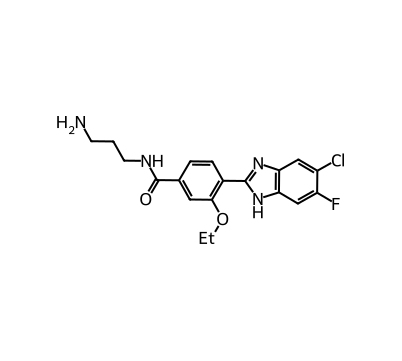 CCOc1cc(C(=O)NCCCN)ccc1-c1nc2cc(Cl)c(F)cc2[nH]1